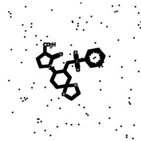 O=C(O)C1CCN(C2CCC3(CC2CS(=O)(=O)c2ccccc2)OCCO3)C1=O